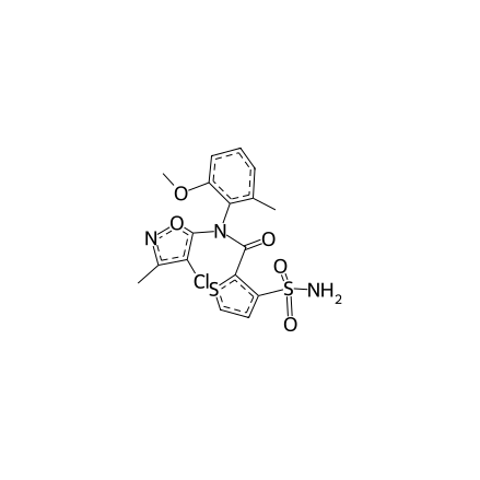 COc1cccc(C)c1N(C(=O)c1sccc1S(N)(=O)=O)c1onc(C)c1Cl